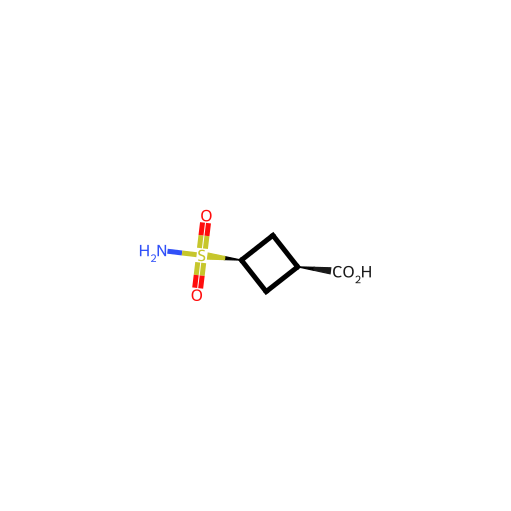 NS(=O)(=O)[C@H]1C[C@@H](C(=O)O)C1